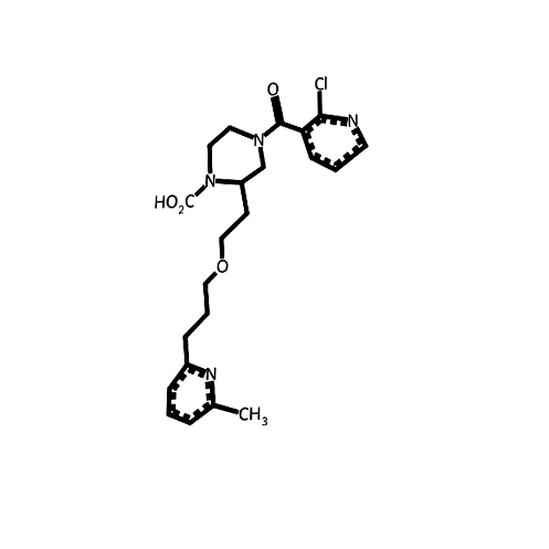 Cc1cccc(CCCOCCC2CN(C(=O)c3cccnc3Cl)CCN2C(=O)O)n1